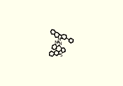 c1ccc(-c2ccc3c4cc5ccccc5cc4n(-c4nc(-c5cccc6sc7cc8ccccc8cc7c56)c5ccccc5n4)c3c2)cc1